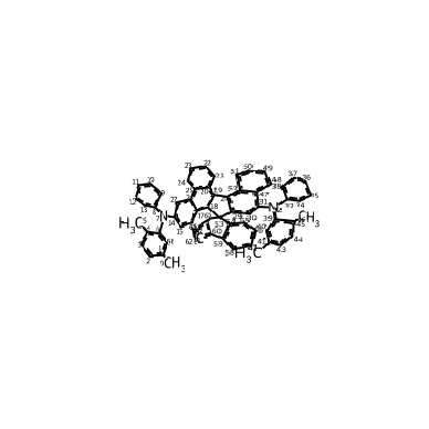 Cc1ccc(C)c(N(c2ccccc2)c2ccc3c4c(c5ccccc5c3c2)-c2c(cc(N(c3ccccc3)c3cc(C)ccc3C)c3ccccc23)C42c3ccccc3-c3ccccc32)c1